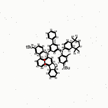 Cc1cc(C(C)(C)C)ccc1N(c1cc(-c2ccccc2)cc(N(c2ccc3c(c2)oc2ccccc23)c2ccc(C(C)(C)C)cc2-c2ccccc2)c1)c1ccc2c(c1)C(C)(C)CCC2(C)C